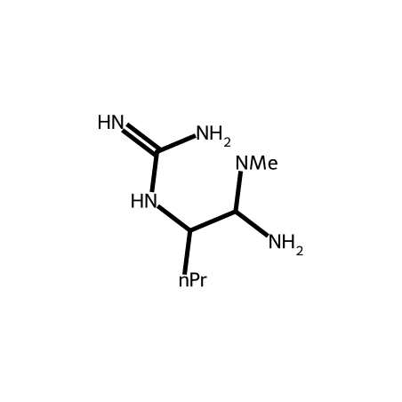 CCCC(NC(=N)N)C(N)NC